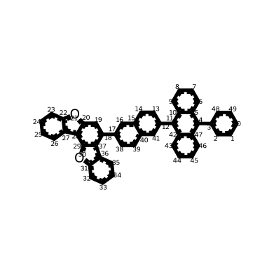 c1ccc(-c2c3ccccc3c(-c3ccc4cc(-c5cc6oc7ccccc7c6c6oc7ccccc7c56)ccc4c3)c3ccccc23)cc1